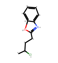 CC(Cl)CCc1nc2ccccc2o1